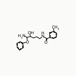 Cc1cccc(C(=O)NCCCC(O)C(N)Oc2ccccc2)c1